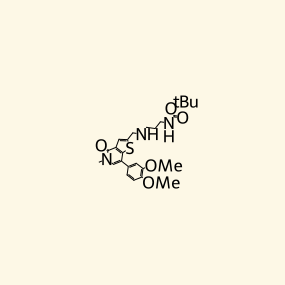 COc1ccc(-c2cn(C)c(=O)c3cc(CNCCCNC(=O)OC(C)(C)C)sc23)cc1OC